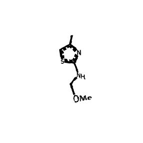 COCNc1nc(C)cs1